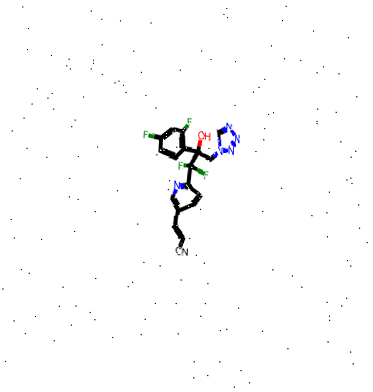 N#CC=Cc1ccc(C(F)(F)C(O)(Cn2cnnn2)c2ccc(F)cc2F)nc1